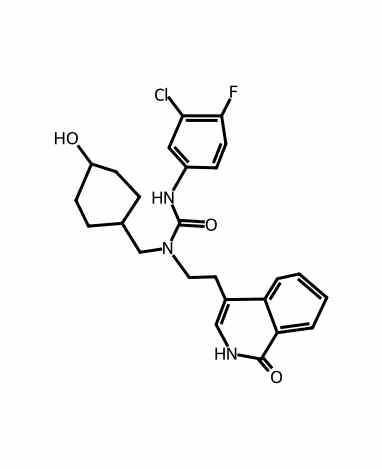 O=C(Nc1ccc(F)c(Cl)c1)N(CCc1c[nH]c(=O)c2ccccc12)CC1CCC(O)CC1